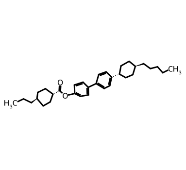 CCCCC[C@H]1CC[C@H](c2ccc(-c3ccc(OC(=O)[C@H]4CC[C@H](CCC)CC4)cc3)cc2)CC1